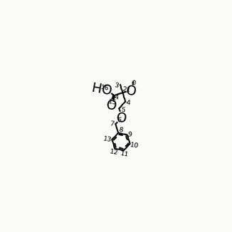 COC(C)(CCOCc1ccccc1)C(=O)O